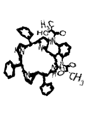 C[C@H](O)C(=O)Nc1cccc(NC(=O)[C@H](C)O)c1-c1c2nc(c(-c3ccccc3)c3ccc([nH]3)c(-c3ccccc3)c3nc(c(-c4ccccc4)c4ccc1[nH]4)C=C3)C=C2